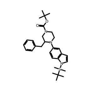 CC(C)(C)OC(=O)N1CCN(c2ccc3c(ccn3[Si](C)(C)C(C)(C)C)c2)C(Cc2ccccc2)C1